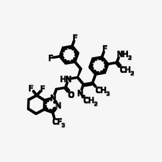 C=N/C(=C(\C)c1ccc(F)c(C(=C)N)c1)[C@H](Cc1cc(F)cc(F)c1)NC(=O)Cn1nc(C(F)(F)F)c2c1C(F)(F)CCC2